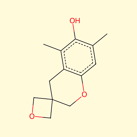 Cc1cc2c(c(C)c1O)CC1(COC1)CO2